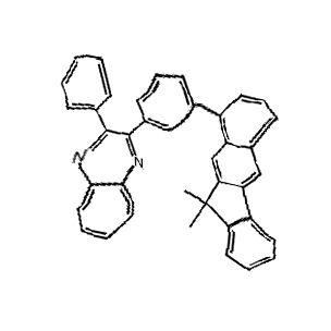 CC1(C)c2ccccc2-c2cc3cccc(-c4cccc(-c5nc6ccccc6nc5-c5ccccc5)c4)c3cc21